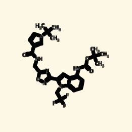 CC(C)(C)OC(=O)Nc1cccc2c1cc(-c1noc(CNC(=O)c3ccn(C(C)(C)C)c3)n1)n2CC(F)(F)F